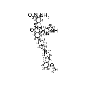 Nc1ccc(SNC(=O)c2ccc(N3CCC4(CC3)CC(N3CCN(Cc5ccccc5OC5CC5)CC3)C4)cc2Oc2cnc3[nH]ccc3c2)cc1[N+](=O)[O-]